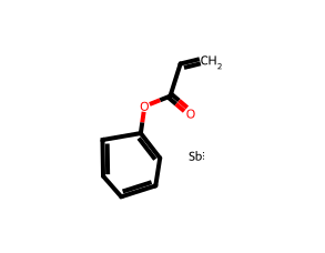 C=CC(=O)Oc1ccccc1.[Sb]